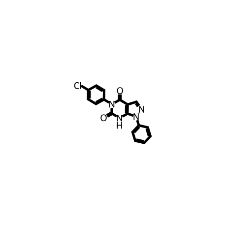 O=c1[nH]c2c(cnn2-c2ccccc2)c(=O)n1-c1ccc(Cl)cc1